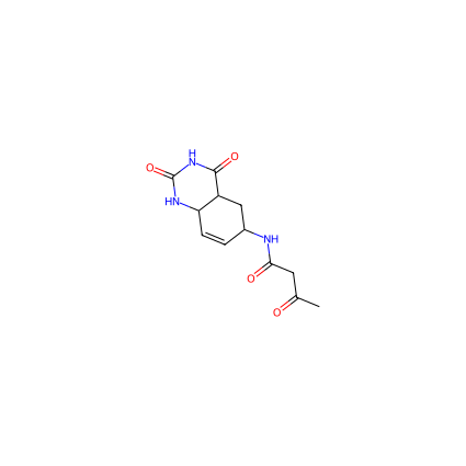 CC(=O)CC(=O)NC1C=CC2NC(=O)NC(=O)C2C1